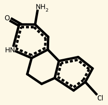 Nc1cc2c([nH]c1=O)CCc1cc(Cl)ccc1-2